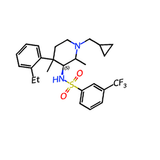 CCc1ccccc1C1(C)CCN(CC2CC2)C(C)[C@H]1NS(=O)(=O)c1cccc(C(F)(F)F)c1